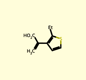 C=C(C(=O)O)c1ccsc1CC